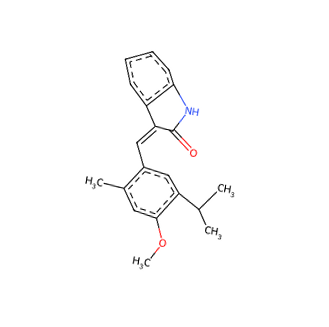 COc1cc(C)c(C=C2C(=O)Nc3ccccc32)cc1C(C)C